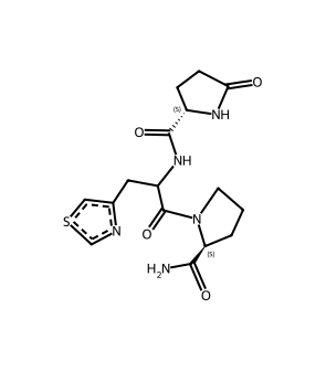 NC(=O)[C@@H]1CCCN1C(=O)C(Cc1cscn1)NC(=O)[C@@H]1CCC(=O)N1